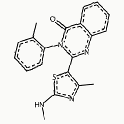 CNc1nc(C)c(-c2nc3ccccc3c(=O)n2-c2ccccc2C)s1